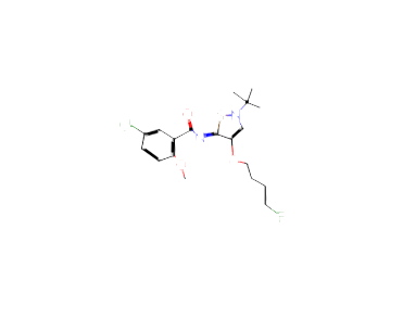 COc1ccc(Cl)cc1C(=O)N=c1sn(C(C)(C)C)cc1OCCCCF